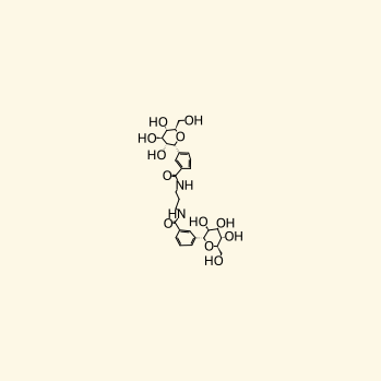 O=C(NCCCNC(=O)c1cccc([C@H]2O[C@H](CO)[C@@H](O)[C@H](O)[C@@H]2O)c1)c1cccc([C@H]2O[C@H](CO)[C@@H](O)[C@H](O)[C@H]2O)c1